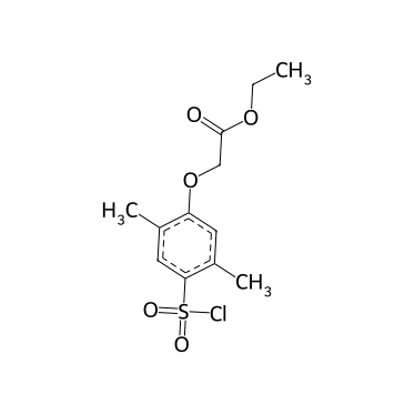 CCOC(=O)COc1cc(C)c(S(=O)(=O)Cl)cc1C